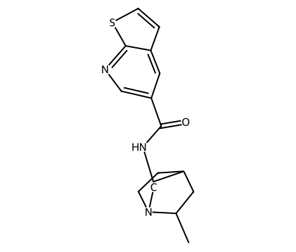 CC1CC2CCN1CC2NC(=O)c1cnc2sccc2c1